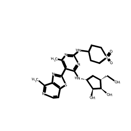 Cc1nc(NC2CCS(=O)(=O)CC2)nc(N[C@@H]2C[C@H](CO)[C@@H](O)[C@H]2O)c1-c1nc2c(C)nccc2s1